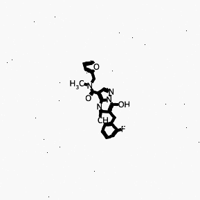 Cc1nc2c(C(=O)N(C)Cc3ccco3)cnn2c(O)c1Cc1ccccc1F